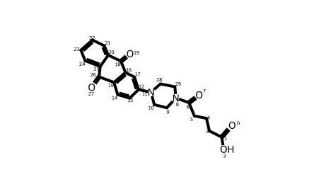 O=C(O)CCCC(=O)N1CCN(c2ccc3c(c2)C(=O)c2ccccc2C3=O)CC1